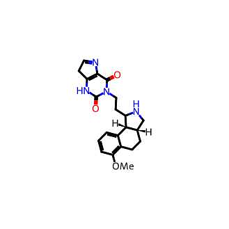 COc1cccc2c1CC[C@H]1CNC(CCn3c(=O)[nH]c4c(c3=O)N=CC4)[C@@H]21